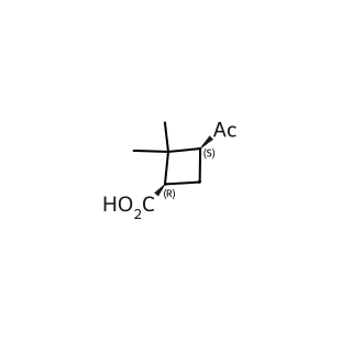 CC(=O)[C@H]1C[C@@H](C(=O)O)C1(C)C